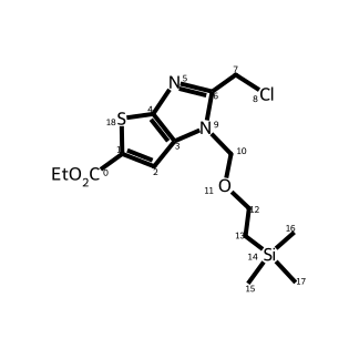 CCOC(=O)c1cc2c(nc(CCl)n2COCC[Si](C)(C)C)s1